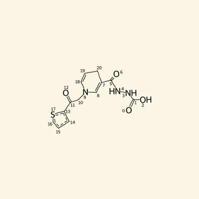 O=C(O)NNC(=O)C1=CN(CC(=O)c2cccs2)C=CC1